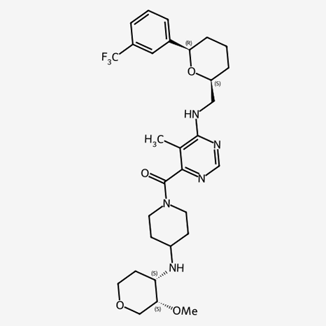 CO[C@@H]1COCC[C@@H]1NC1CCN(C(=O)c2ncnc(NC[C@@H]3CCC[C@H](c4cccc(C(F)(F)F)c4)O3)c2C)CC1